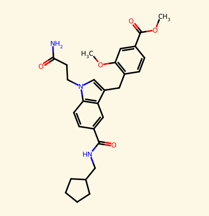 COC(=O)c1ccc(Cc2cn(CCC(N)=O)c3ccc(C(=O)NCC4CCCC4)cc23)c(OC)c1